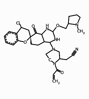 C=CC(=O)N1CCN(C2NC(OCC3CCCN3C)NC3C(=O)[C@@]4(CCC32)CC(Cl)c2ccccc2O4)CC1CC#N